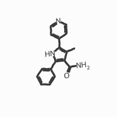 Cc1c(-c2ccncc2)[nH]c(-c2ccccc2)c1C(N)=O